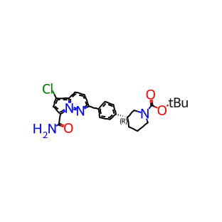 CC(C)(C)OC(=O)N1CCC[C@H](c2ccc(-c3ccc4c(Cl)cc(C(N)=O)n4n3)cc2)C1